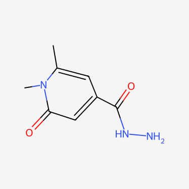 Cc1cc(C(=O)NN)cc(=O)n1C